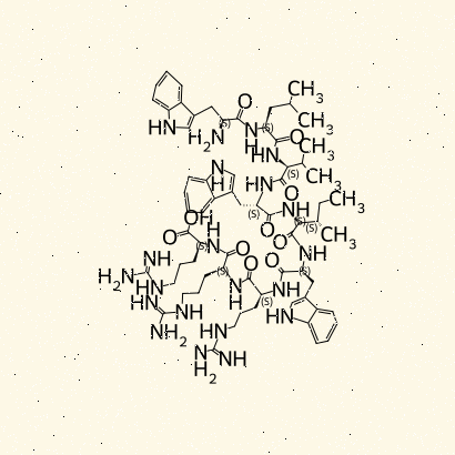 CC[C@H](C)[C@H](NC(=O)[C@H](Cc1c[nH]c2ccccc12)NC(=O)[C@@H](NC(=O)[C@H](CC(C)C)NC(=O)[C@@H](N)Cc1c[nH]c2ccccc12)C(C)C)C(=O)N[C@@H](Cc1c[nH]c2ccccc12)C(=O)N[C@@H](CCCNC(=N)N)C(=O)N[C@@H](CCCNC(=N)N)C(=O)N[C@@H](CCCNC(=N)N)C(=O)O